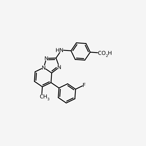 Cc1ccn2nc(Nc3ccc(C(=O)O)cc3)nc2c1-c1cccc(F)c1